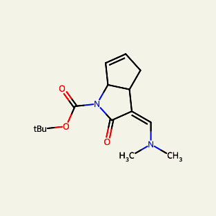 CN(C)C=C1C(=O)N(C(=O)OC(C)(C)C)C2C=CCC12